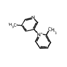 Cc1cncc(-[n+]2ccccc2C)c1